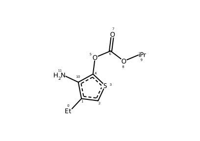 CCc1csc(OC(=O)OC(C)C)c1N